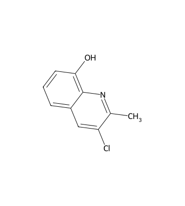 Cc1nc2c(O)cccc2cc1Cl